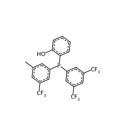 Cc1cc(P(c2cc(C(F)(F)F)cc(C(F)(F)F)c2)c2ccccc2O)cc(C(F)(F)F)c1